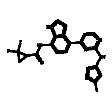 Cn1cc(Nc2nccc(-c3ccc(NC(=O)C4CC4(F)F)c4[nH]ccc34)n2)cn1